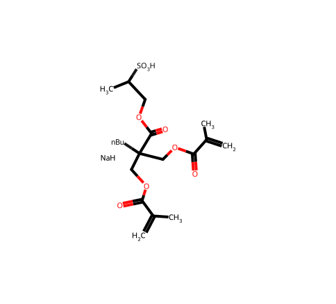 C=C(C)C(=O)OCC(CCCC)(COC(=O)C(=C)C)C(=O)OCC(C)S(=O)(=O)O.[NaH]